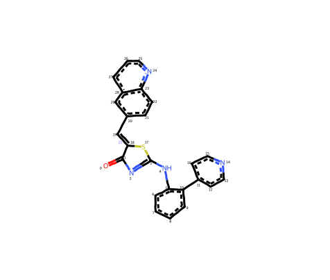 O=C1N=C(Nc2ccccc2-c2ccncc2)S/C1=C\c1ccc2ncccc2c1